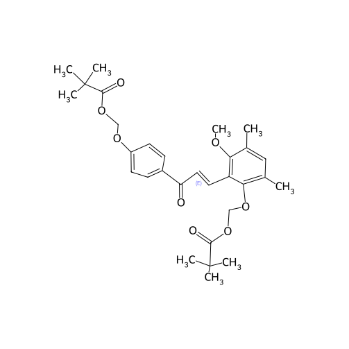 COc1c(C)cc(C)c(OCOC(=O)C(C)(C)C)c1/C=C/C(=O)c1ccc(OCOC(=O)C(C)(C)C)cc1